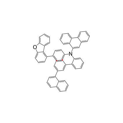 c1cc(-c2ccccc2N(c2ccc(-c3cccc4oc5ccccc5c34)cc2)c2cc3ccccc3c3ccccc23)cc(-c2cccc3ccccc23)c1